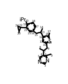 Cc1ncncc1C(C)Cc1cc(C(C)Cc2ccc(C(C)C)c(C3CC3)c2)c(C)s1